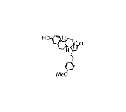 COc1ccc(CC[C@H]2CC(=O)[C@@]3(C)CC[C@@H]4c5ccc(O)cc5CC[C@H]4[C@H]23)cc1